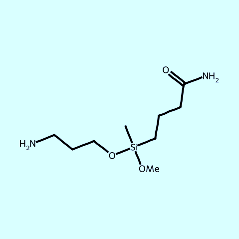 CO[Si](C)(CCCC(N)=O)OCCCN